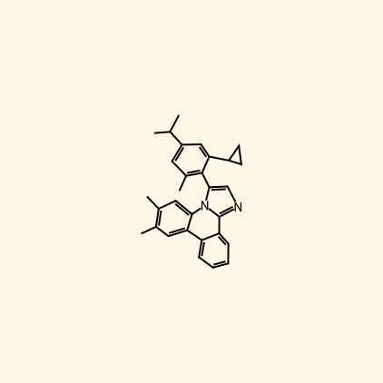 Cc1cc2c3ccccc3c3ncc(-c4c(C)cc(C(C)C)cc4C4CC4)n3c2cc1C